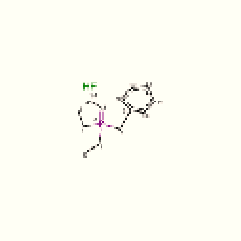 CC[PH](CC)(CC)Cc1ccccc1.F